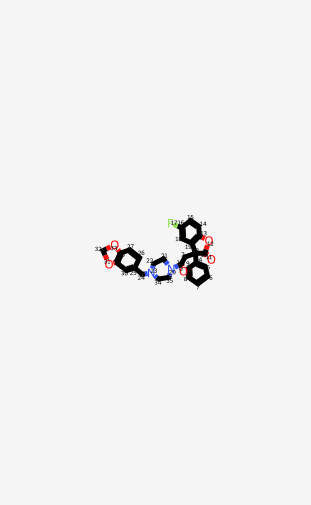 O=C(CC1(c2ccccc2)C(=O)Oc2ccc(F)cc21)N1CCN(Cc2ccc3c(c2)OCO3)CC1